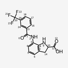 O=C(Nc1cccc2c1NC(C(=O)O)C2)c1cccc(C(F)(F)F)c1